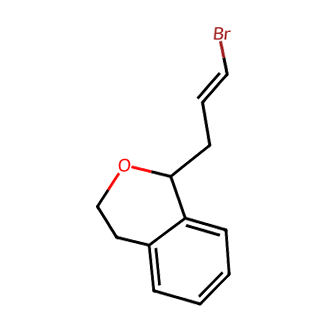 BrC=CCC1OCCc2ccccc21